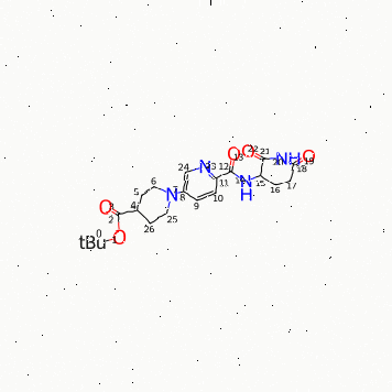 CC(C)(C)OC(=O)C1CCN(c2ccc(C(=O)NC3CCC(=O)NC3=O)nc2)CC1